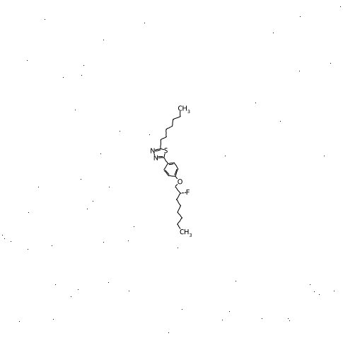 CCCCCCCc1nnc(-c2ccc(OCC(F)CCCCCC)cc2)s1